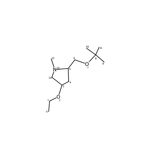 CCOC1CC(COC(C)(C)C)N(C)C1